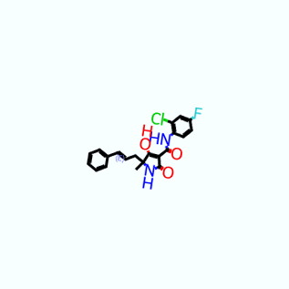 CC1(C/C=C/c2ccccc2)NC(=O)C(C(=O)Nc2ccc(F)cc2Cl)=C1O